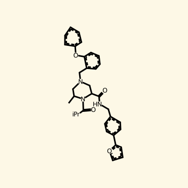 CC(C)C(=O)N1C(C)CN(Cc2ccccc2Oc2ccccc2)CC1C(=O)NCc1ccc(-c2ccco2)cc1